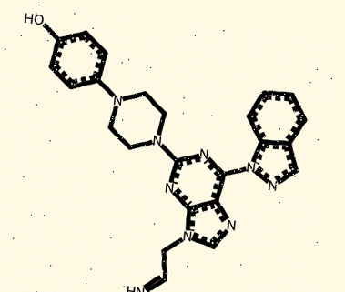 N=CCn1cnc2c(-n3ncc4ccccc43)nc(N3CCN(c4ccc(O)cc4)CC3)nc21